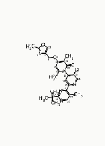 Cc1nc(COc2cc(C)n(-c3cc(-c4nc(C(C)(C)C)ncc4C)ncc3Cl)c(=O)c2C)co1